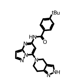 CC(C)(C)c1ccc(C(=O)Nc2cc(N3CCc4n[nH]cc4C3)n3nccc3n2)cc1